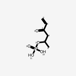 C=CC(=O)CC(C)OP(=O)(O)O